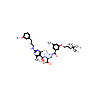 Cc1cc(OCCCC(C)(C)C)cc(C(=O)NC[C@H](NC(=O)c2c(C)nc(NCCCc3cccc(O)c3)nc2C)C(=O)O)c1